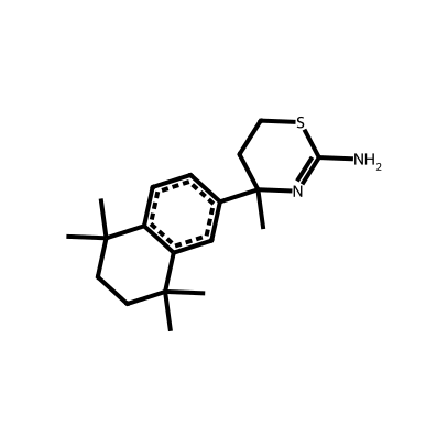 CC1(C)CCC(C)(C)c2cc(C3(C)CCSC(N)=N3)ccc21